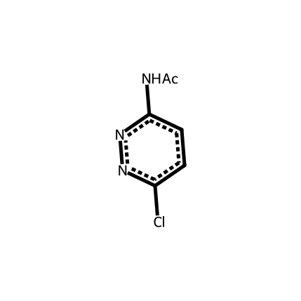 CC(=O)Nc1ccc(Cl)nn1